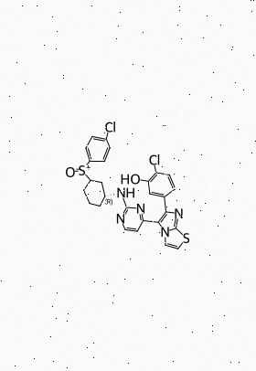 [O-][S+](c1ccc(Cl)cc1)C1CCC[C@@H](Nc2nccc(-c3c(-c4ccc(Cl)c(O)c4)nc4sccn34)n2)C1